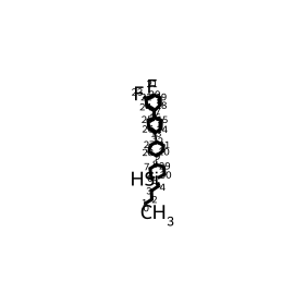 CCCCC[SiH]1CCC([C@H]2CC[C@H](c3ccc(-c4ccc(F)c(F)c4)cc3)CC2)CC1